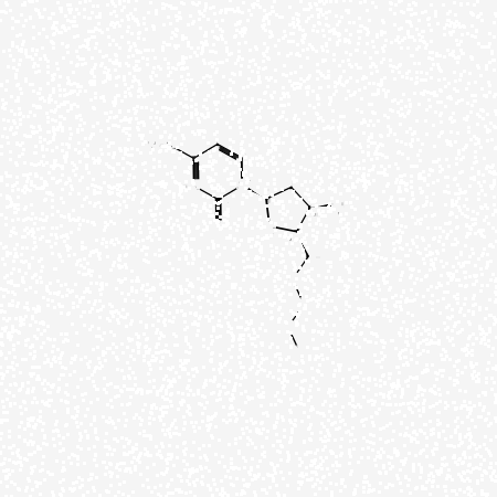 CNc1ccn([C@H]2C[C@@H](O)[C@@H](COPPP)O2)c(=O)n1